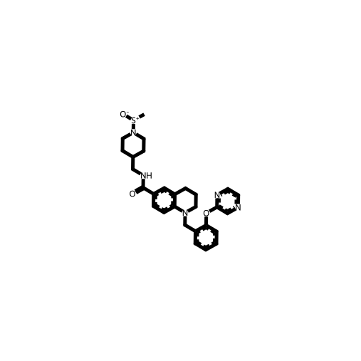 C[S+]([O-])N1CCC(CNC(=O)c2ccc3c(c2)CCCN3Cc2ccccc2Oc2cnccn2)CC1